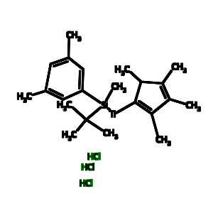 CC1=C(C)C(C)[C]([Ti][Si](C)(c2cc(C)cc(C)c2)C(C)(C)C)=C1C.Cl.Cl.Cl